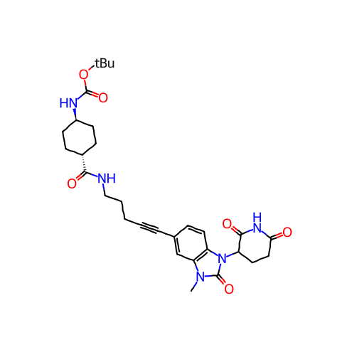 Cn1c(=O)n(C2CCC(=O)NC2=O)c2ccc(C#CCCCNC(=O)[C@H]3CC[C@H](NC(=O)OC(C)(C)C)CC3)cc21